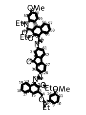 CCOc1c(CON(CC)c2cccc(OC)c2)cc2ccccc2c1N=Nc1ccc2c(c1)C(=O)c1cc(N=Nc3c(OCC)c(C(=O)N(CC)c4cccc(OC)c4)cc4ccccc34)ccc1-2